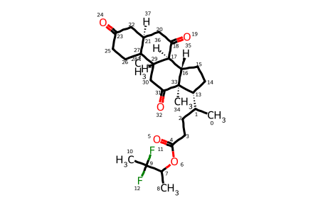 CC(CCC(=O)OC(C)C(C)(F)F)[C@H]1CC[C@H]2[C@@H]3C(=O)C[C@@H]4CC(=O)CC[C@]4(C)[C@H]3CC(=O)[C@]12C